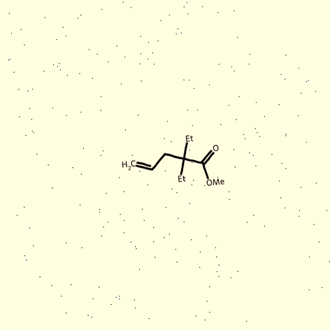 C=CCC(CC)(CC)C(=O)OC